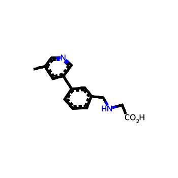 Cc1cncc(-c2cccc(CNCC(=O)O)c2)c1